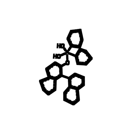 OP(O)(Oc1ccc2ccccc2c1-c1cccc2ccccc12)(c1ccccc1)c1ccccc1